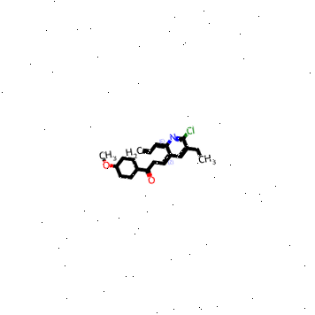 C=C/C=c1/nc(Cl)c(CC)c/c1=C/CC(=O)C1CCC(OC)CC1